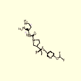 CC(F)(Sc1ccc(OC(F)F)nc1)C1CCN(C(=O)NC(/C=C\N)=C/N)CC1